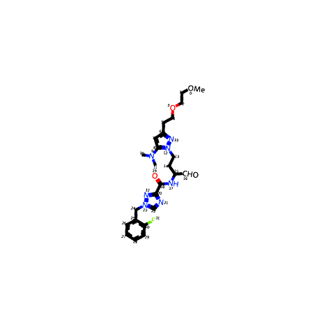 COCCOCCc1cc(N(C)C)n(CCC(C=O)NC(=O)c2ncn(Cc3ccccc3F)n2)n1